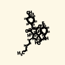 CCSCC[C@@H]1N[C@@]2(C(=O)Nc3ccc(F)cc32)[C@@H]2C(=O)N(c3ccc(C)cc3)C(=O)[C@H]12